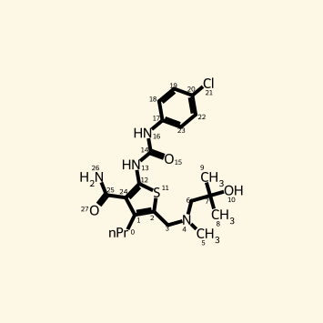 CCCc1c(CN(C)CC(C)(C)O)sc(NC(=O)Nc2ccc(Cl)cc2)c1C(N)=O